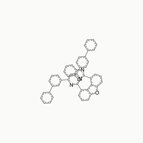 c1ccc(-c2ccc(-c3cc(-c4cccc(-c5ccccc5)c4)nc(-c4cccc5oc6cccc(-c7nc8ccccc8o7)c6c45)n3)cc2)cc1